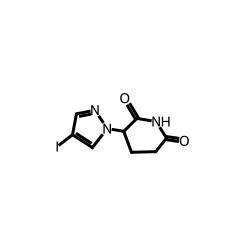 O=C1CCC(n2cc(I)cn2)C(=O)N1